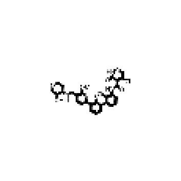 COc1nc(-c2cccc(-c3cccc(NC(=O)c4c(Cl)cn[nH]c4=O)c3Cl)c2Cl)ccc1CNC1CCOCC1O